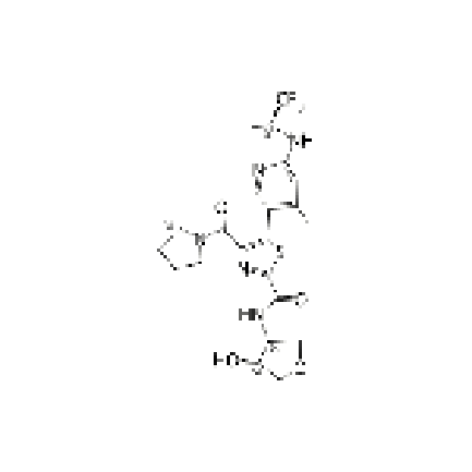 Cc1cc(N[C@@H](C)C(F)(F)F)ncc1-c1sc(C(=O)N[C@@H]2COC[C@H]2O)nc1C(=O)N1CCC[C@@H]1C